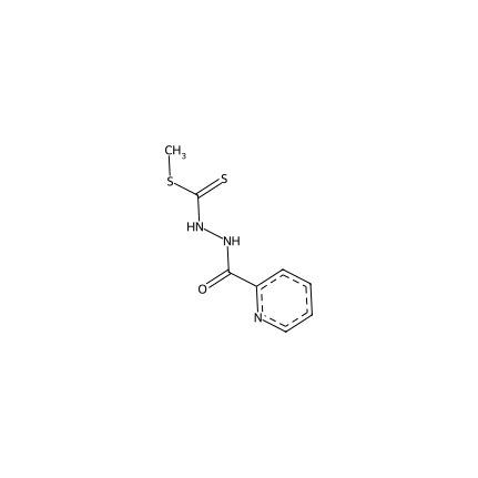 CSC(=S)NNC(=O)c1ccccn1